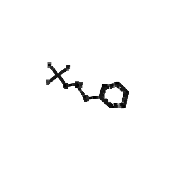 FC(F)(F)OBOc1ccccc1